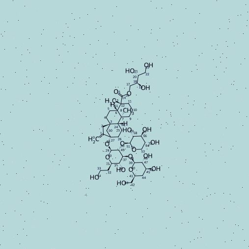 C=C1C[C@@]23CC[C@H]4[C@@](C)(CCC[C@@]4(C)C(=O)OC[C@H](O)[C@H](O)CO)[C@@H]2CC[C@]1(O[C@@H]1O[C@H](CCO)[C@@H](O)[C@H](O[C@@H]2O[C@H](CO)C[C@H](O)[C@H]2O)[C@H]1O[C@@H]1OC[C@@H](O)[C@H](O)[C@H]1O)C3